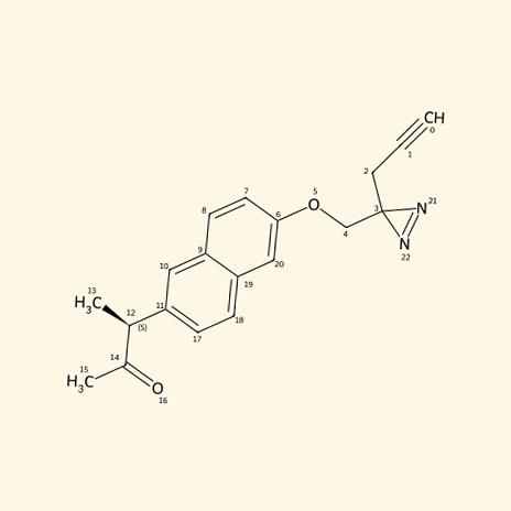 C#CCC1(COc2ccc3cc([C@H](C)C(C)=O)ccc3c2)N=N1